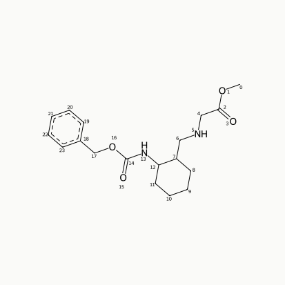 COC(=O)CNCC1CCCCC1NC(=O)OCc1ccccc1